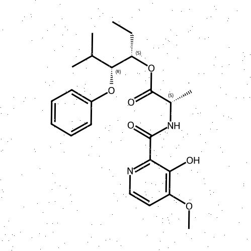 CC[C@H](OC(=O)[C@H](C)NC(=O)c1nccc(OC)c1O)[C@H](Oc1ccccc1)C(C)C